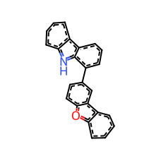 c1ccc2c(c1)[nH]c1c(-c3ccc4oc5ccccc5c4c3)cccc12